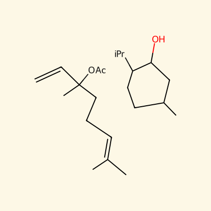 C=CC(C)(CCC=C(C)C)OC(C)=O.CC1CCC(C(C)C)C(O)C1